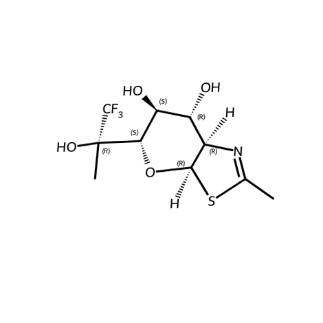 CC1=N[C@@H]2[C@@H](O)[C@H](O)[C@@H]([C@@](C)(O)C(F)(F)F)O[C@@H]2S1